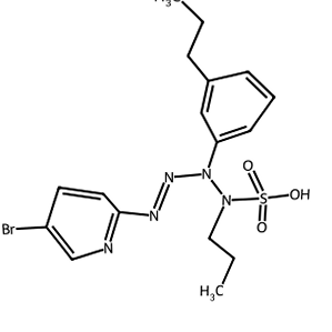 CCCc1cccc(N(N=Nc2ccc(Br)cn2)N(CCC)S(=O)(=O)O)c1